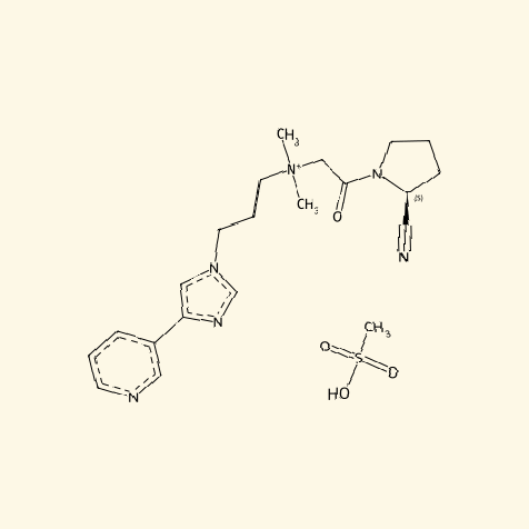 CS(=O)(=O)O.C[N+](C)(CCCn1cnc(-c2cccnc2)c1)CC(=O)N1CCC[C@H]1C#N